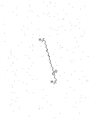 CCCCC/C=C/C/C=C/CCCCCCCC(=O)OCCCC